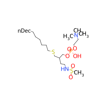 CCCCCCCCCCCCCCCCSCC(CCNS(C)(=O)=O)COP(=O)(O)OCC[N+](C)(C)C